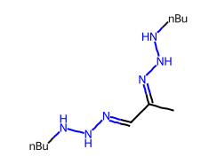 CCCCNNN=CC(C)=NNNCCCC